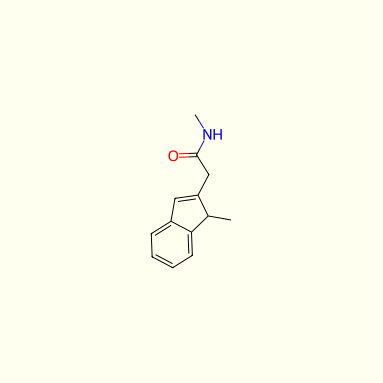 CNC(=O)CC1=Cc2ccccc2C1C